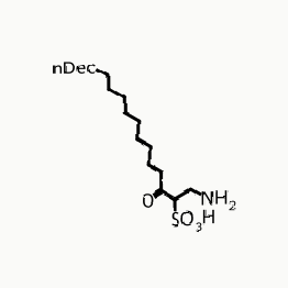 CCCCCCCCCCCCCCCCCCCC(=O)C(CN)S(=O)(=O)O